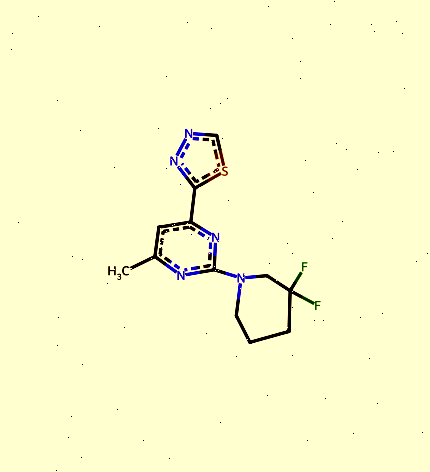 Cc1cc(-c2nncs2)nc(N2CCCC(F)(F)C2)n1